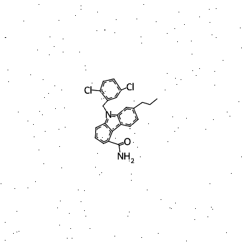 CCCc1c[c]c2c3c(C(N)=O)cccc3n(Cc3cc(Cl)ccc3Cl)c2c1